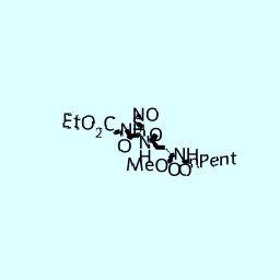 CCCCCC(=O)N[C@@H](CCC(=O)N[C@@H](CSN=O)C(=O)NCC(=O)OCC)C(=O)OC